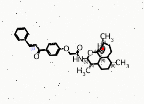 C[C@@H]1CCC2[C@@H](C)[C@@H](NC(=O)COc3ccc(C(=O)/C=C/c4ccccc4)cc3)O[C@@H]3O[C@@]4(C)CCC1[C@@]23OO4